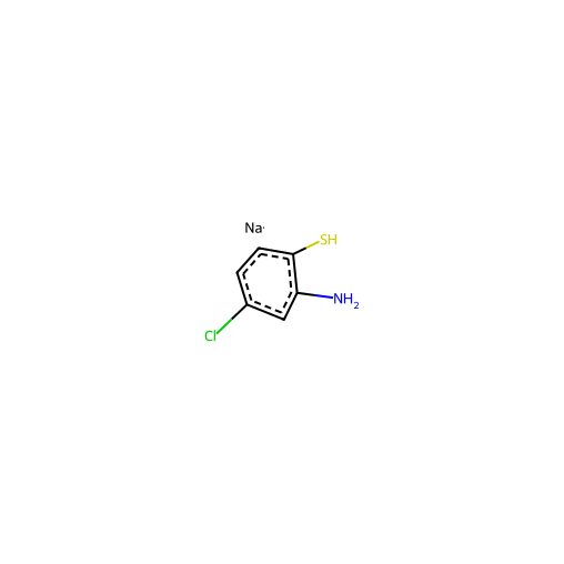 Nc1cc(Cl)ccc1S.[Na]